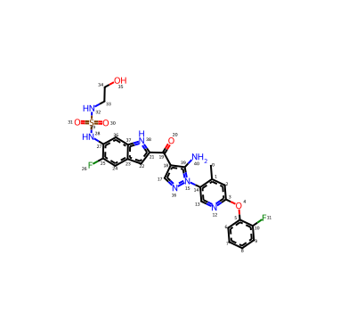 Cc1cc(Oc2ccccc2F)ncc1-n1ncc(C(=O)c2cc3cc(F)c(NS(=O)(=O)NCCO)cc3[nH]2)c1N